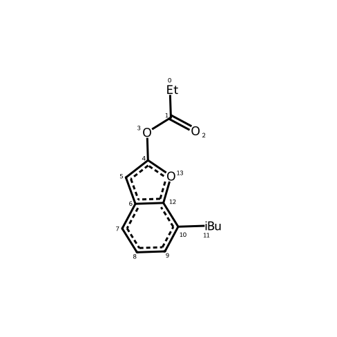 CCC(=O)Oc1cc2cccc(C(C)CC)c2o1